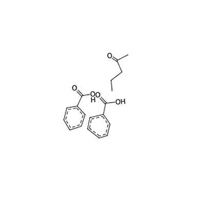 CCCC(C)=O.O=C(O)c1ccccc1.O=C(O)c1ccccc1